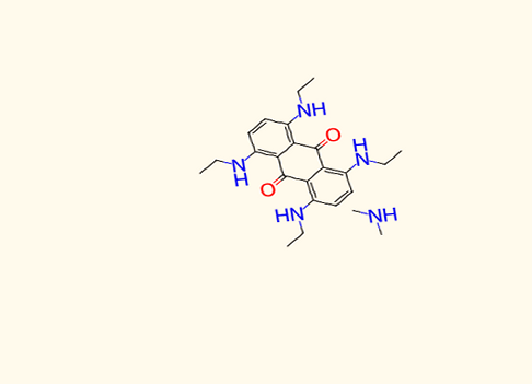 CCNc1ccc(NCC)c2c1C(=O)c1c(NCC)ccc(NCC)c1C2=O.CNC